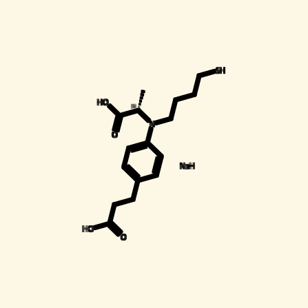 C[C@@H](C(=O)O)N(CCCCS)c1ccc(CCC(=O)O)cc1.[NaH]